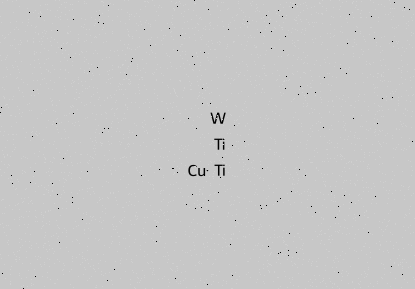 [Cu].[Ti].[Ti].[W]